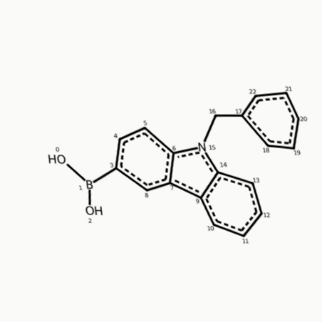 OB(O)c1ccc2c(c1)c1ccccc1n2Cc1ccccc1